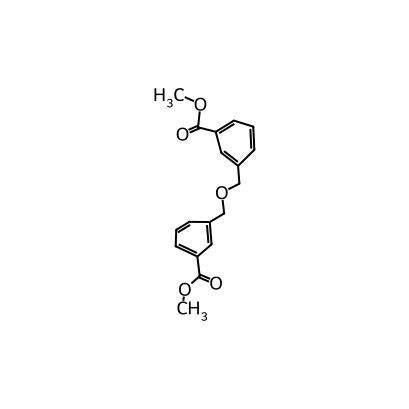 COC(=O)c1cccc(COCc2cccc(C(=O)OC)c2)c1